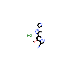 COc1cc(-c2nnn([C@@H]3CCNC3)c2C)cn2ncc(C#N)c12.Cl